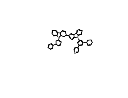 C1=CC(c2ccccc2)CC(n2c3c(c4ccccc42)C=CC(c2ccc4c(c2)c2ccccc2n4-c2cc(-c4ccncc4)cc(C4C=CCCC4)c2)C3)=C1